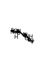 Cc1nc(CC(=O)Nc2nnc(CCCCc3ccc(NC(=O)Cc4cccc(OCF)c4)nn3)s2)c(C)s1